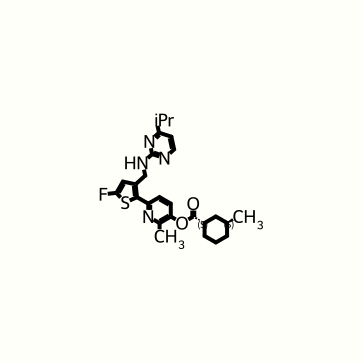 Cc1nc(-c2sc(F)cc2CNc2nccc(C(C)C)n2)ccc1OC(=O)[C@H]1CCC[C@H](C)C1